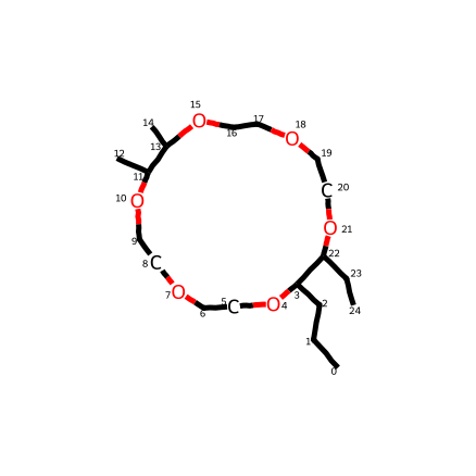 CCCC1OCCOCCOC(C)C(C)OCCOCCOC1CC